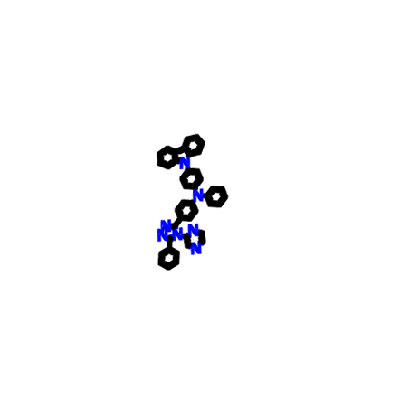 c1ccc(-c2nnc(-c3ccc(N(c4ccccc4)c4ccc(-n5c6ccccc6c6ccccc65)cc4)cc3)n2-c2cnccn2)cc1